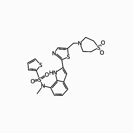 CN(c1cccc2cc(-c3ncc(CN4CCS(=O)(=O)CC4)s3)[nH]c12)S(=O)(=O)c1cccs1